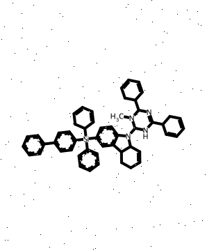 CN1C(C2C=CC=CC2)N=C(C2C=CC=CC2)NC1N1c2ccc([Si](c3ccccc3)(c3ccc(-c4ccccc4)cc3)C3C=CC=CC3)cc2C2CCC=CC21